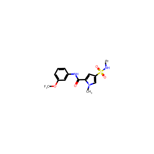 CC(C)NS(=O)(=O)c1cc(C(=O)Nc2cccc(OC(F)(F)F)c2)n(C)c1